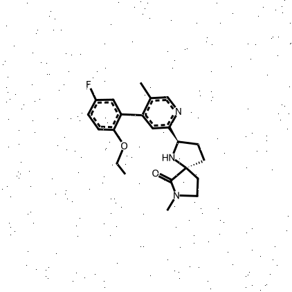 CCOc1ccc(F)cc1-c1cc([C@H]2CC[C@@]3(CCN(C)C3=O)N2)ncc1C